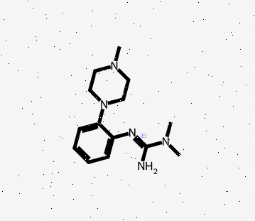 CN1CCN(c2ccccc2/N=C(\N)N(C)C)CC1